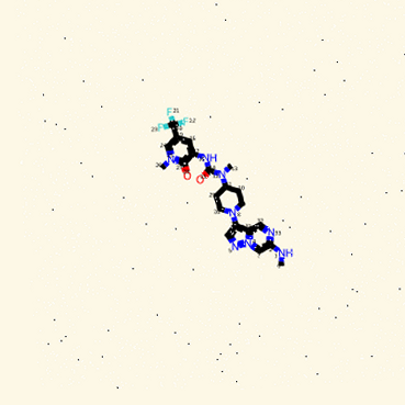 CNc1cn2ncc(N3CCC(N(C)C(=O)Nc4cc(C(F)(F)F)cn(C)c4=O)CC3)c2cn1